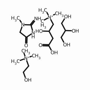 CN1CC(=O)NC1=N.C[N+](C)(C)CC(O)CC(=O)O.C[N+](C)(C)CCO.OCC(O)CO